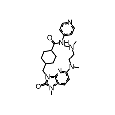 CN(C)CCN(C)c1ccc2c(n1)n(CC1CCC(C(=O)Nc3ccncc3)CC1)c(=O)n2C